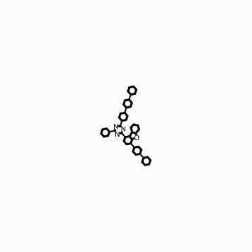 c1ccc(-c2ccc(-c3ccc(-c4nc(-c5ccccc5)nc(-c5ccc(-c6ccc(-c7ccccc7)cc6)c6oc7ccccc7c56)n4)cc3)cc2)cc1